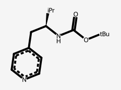 CC(C)[C@H](Cc1ccncc1)NC(=O)OC(C)(C)C